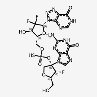 Nc1nc2c(ncn2[C@]2(OP(=O)(S)OC[C@H]3O[C@@H](n4nnc5c(=O)[nH]cnc54)C(F)(F)[C@@H]3O)CO[C@H](CO)[C@H]2F)c(=O)[nH]1